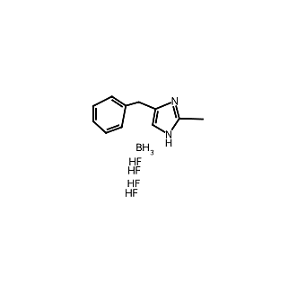 B.Cc1nc(Cc2ccccc2)c[nH]1.F.F.F.F